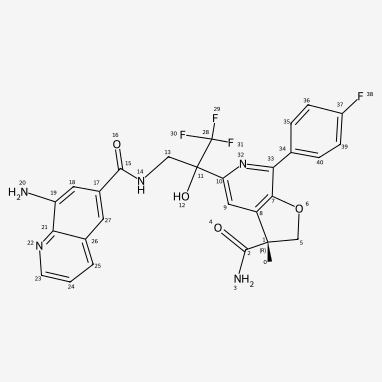 C[C@]1(C(N)=O)COc2c1cc(C(O)(CNC(=O)c1cc(N)c3ncccc3c1)C(F)(F)F)nc2-c1ccc(F)cc1